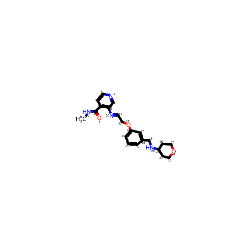 CNC(=O)c1ccncc1/N=C/COc1cccc(CNC2CCOCC2)c1